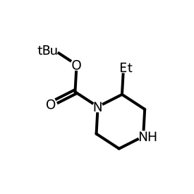 CCC1CNCCN1C(=O)OC(C)(C)C